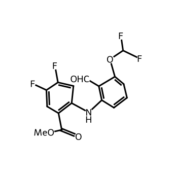 COC(=O)c1cc(F)c(F)cc1Nc1cccc(OC(F)F)c1C=O